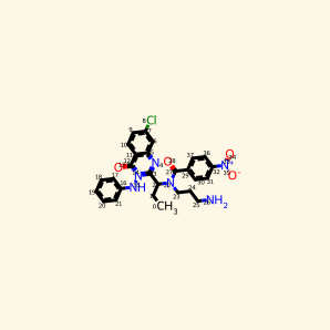 CCC(c1nc2cc(Cl)ccc2c(=O)n1Nc1ccccc1)N(CCCN)C(=O)c1ccc([N+](=O)[O-])cc1